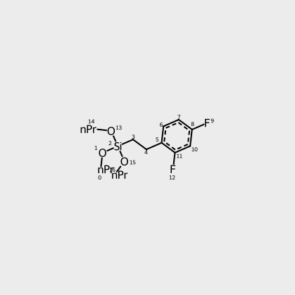 CCCO[Si](CCc1ccc(F)cc1F)(OCCC)OCCC